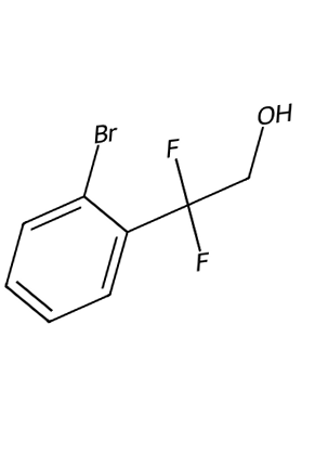 OCC(F)(F)c1ccccc1Br